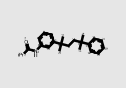 CC(C)C(=O)Nc1cccc(C(C)(C)CCC(C)(C)c2ccccc2)c1